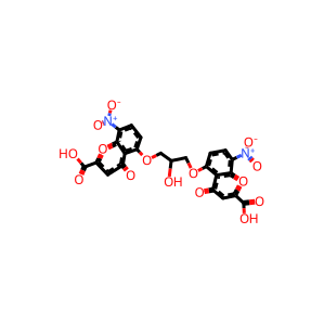 O=C(O)c1cc(=O)c2c(OCC(O)COc3ccc([N+](=O)[O-])c4oc(C(=O)O)cc(=O)c34)ccc([N+](=O)[O-])c2o1